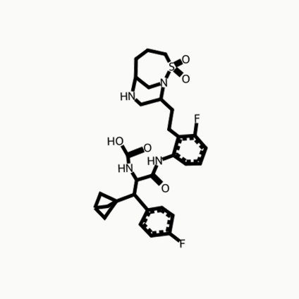 O=C(O)NC(C(=O)Nc1cccc(F)c1CCC1CNC2CCCS(=O)(=O)N1C2)C(c1ccc(F)cc1)C12CC(C1)C2